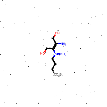 CCOC(=O)CCCN(N)/C(CO)=C(\N)CO